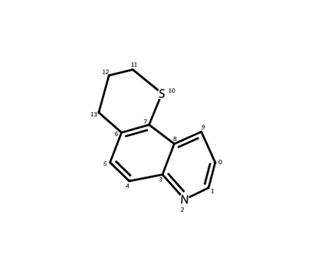 c1cnc2ccc3c(c2c1)SCCC3